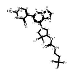 O=C(NCCC(F)(F)F)OC1CN(c2cc(C3=CNC(O)NC3=O)nn3ncnc23)CC1(F)F